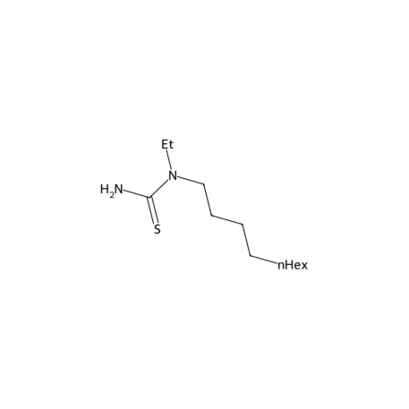 CCCCCCCCCCN(CC)C(N)=S